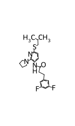 CC(C)CSc1ccc(NC(=O)CCc2cc(F)cc(F)c2)c(N2CCCC2)n1